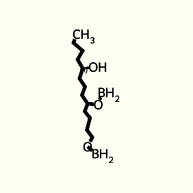 BOCCCCC(CCC[C@H](O)CCCC)OB